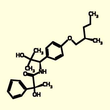 CCC[C@@H](C)COc1ccc([C@@H](NC(=O)[C@](C)(O)c2ccccc2)C(C)(C)O)cc1